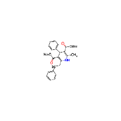 COC(=O)C1=C(C)NC(C[Se]c2ccccc2)=C(C(=O)OC)C1c1ccccc1